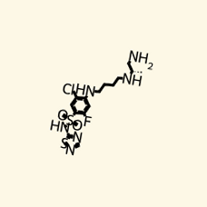 C[C@@H](CN)NCCCCNc1cc(F)c(S(=O)(=O)Nc2ncns2)cc1Cl